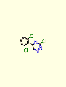 Clc1nncc(-c2c(Cl)cccc2Cl)n1